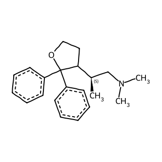 C[C@H](CN(C)C)C1CCOC1(c1ccccc1)c1ccccc1